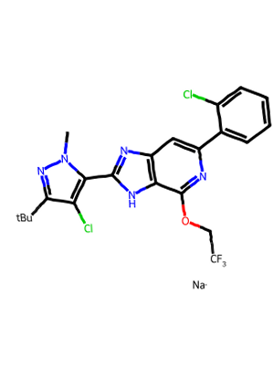 Cn1nc(C(C)(C)C)c(Cl)c1-c1nc2cc(-c3ccccc3Cl)nc(OCC(F)(F)F)c2[nH]1.[Na]